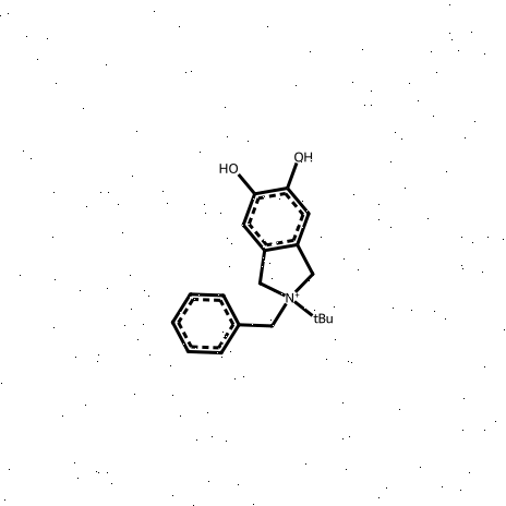 CC(C)(C)[N+]1(Cc2ccccc2)Cc2cc(O)c(O)cc2C1